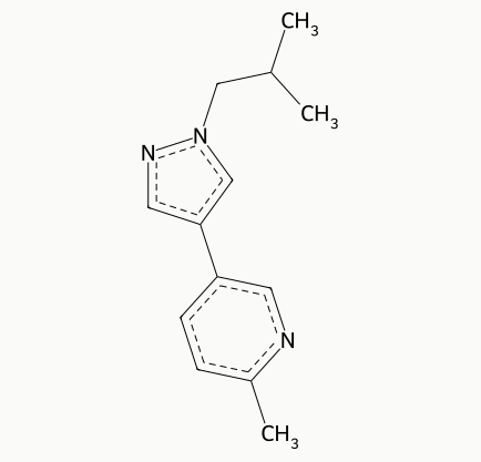 Cc1ccc(-c2cnn(CC(C)C)c2)cn1